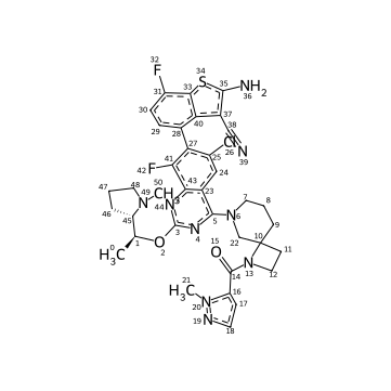 C[C@H](Oc1nc(N2CCCC3(CCN3C(=O)c3ccnn3C)C2)c2cc(Cl)c(-c3ccc(F)c4sc(N)c(C#N)c34)c(F)c2n1)[C@@H]1CCCN1C